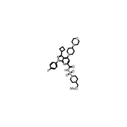 COCC1CCN(S(=O)(=O)NC(=O)c2cc(N3CCC(N4CCOCC4)CC3)c3c(C4CCC4)nn(-c4ccc(F)cc4)c3n2)CC1